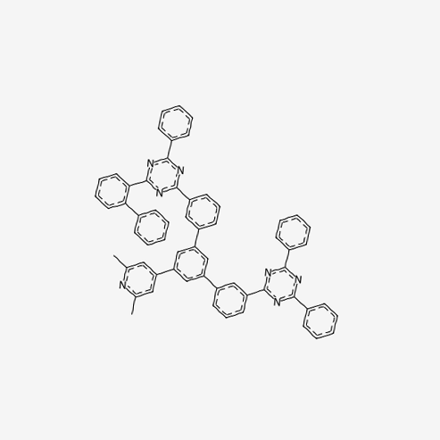 Cc1cc(-c2cc(-c3cccc(-c4nc(-c5ccccc5)nc(-c5ccccc5)n4)c3)cc(-c3cccc(-c4nc(-c5ccccc5)nc(-c5ccccc5-c5ccccc5)n4)c3)c2)cc(C)n1